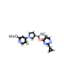 COc1cc(N2CC[C@@H](COc3nc(C4CC4)ncc3C#N)C2)c(F)cn1